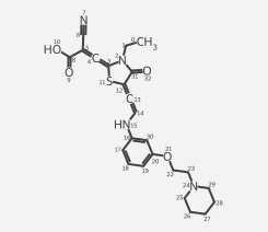 CCn1c(=C=C(C#N)C(=O)O)sc(=C=CNc2cccc(OCCN3CCCCC3)c2)c1=O